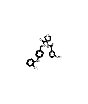 O=C(NC1(C(=O)NCc2ccc(Nc3ccccc3C(F)(F)F)cc2)CCOC1)c1cncc(O)c1